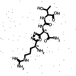 CC(O)C(NC(=O)N[C@@H](CC(N)=O)c1nnc([C@@H](N)CCCNC(=N)N)o1)C(=O)O